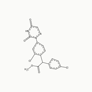 COC(=O)C(c1ccc(Cl)cc1)c1ccc(-n2ncc(=O)[nH]c2=O)cc1Cl